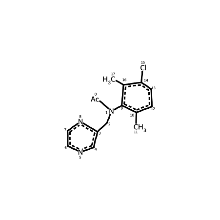 CC(=O)N(Cc1cnccn1)c1c(C)ccc(Cl)c1C